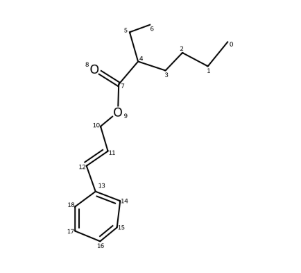 CCCCC(CC)C(=O)OCC=Cc1ccccc1